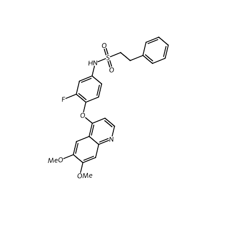 COc1cc2nccc(Oc3ccc(NS(=O)(=O)CCc4ccccc4)cc3F)c2cc1OC